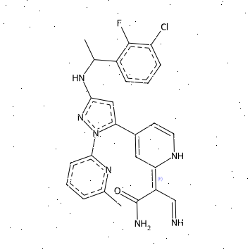 Cc1cccc(-n2nc(NC(C)c3cccc(Cl)c3F)cc2C2=C/C(=C(/C=N)C(N)=O)NC=C2)n1